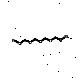 CCOCOCOCOCOCC